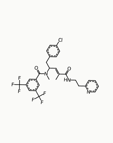 CC(=CC(Cc1ccc(Cl)cc1)N(C)C(=O)c1cc(C(F)(F)F)cc(C(F)(F)F)c1)C(=O)NCCc1ccccn1